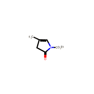 CCOC(=O)N1C=C(C(F)(F)F)CC1=O